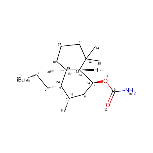 CC[C@@H](C)CC[C@H]1[C@@H](C)C[C@H](OC(N)=O)[C@H]2C(C)(C)CCC[C@]12C